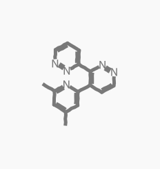 Cc1cc(C)nc(-c2ccnnc2-c2cccnn2)c1